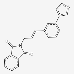 O=C1c2ccccc2C(=O)N1CC=Cc1cccc(-c2ccsc2)c1